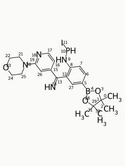 CC1(C)OB(c2ccc(NPI)c(C(=N)c3ccnc(N4CCOCC4)c3)c2)OC1(C)C